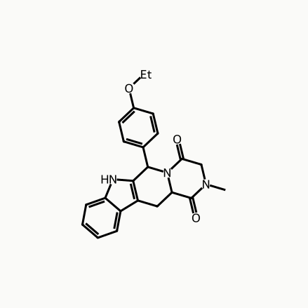 CCOc1ccc(C2c3[nH]c4ccccc4c3CC3C(=O)N(C)CC(=O)N32)cc1